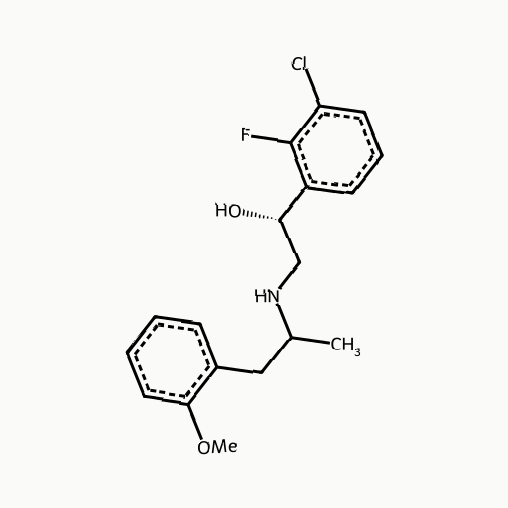 COc1ccccc1CC(C)NC[C@H](O)c1cccc(Cl)c1F